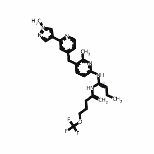 C=C(CCCOC(F)(F)F)N/C(=C\CC)Nc1ccc(Cc2ccnc(-c3cnn(C)c3)c2)c(C)n1